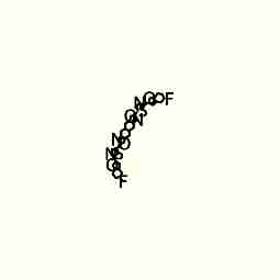 Fc1ccc2oc(-c3ncc(-c4nc5cc6cc7oc(-c8cnc(-c9cc%10cc(F)ccc%10o9)s8)nc7cc6cc5o4)s3)cc2c1